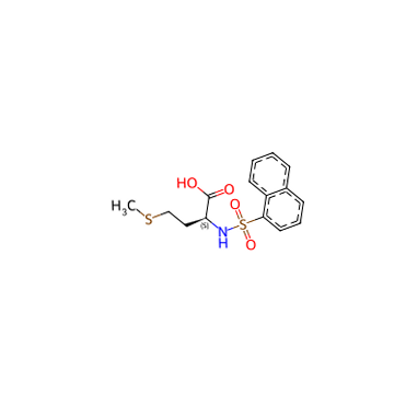 CSCC[C@H](NS(=O)(=O)c1cccc2ccccc12)C(=O)O